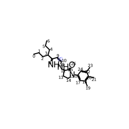 CCCC(CCC)C(=N)/C=C\NC1CCN(c2cc(C)c(C)c(C)c2)C1=O